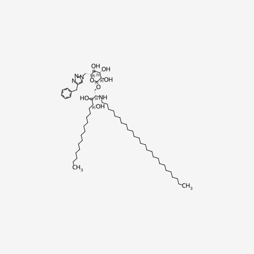 CCCCCCCCCCCCCCCCCCCCCCCCCCN[C@@H](CO[C@@H]1O[C@H](Cn2cc(Cc3ccccc3)nn2)[C@H](O)[C@H](O)[C@H]1O)[C@H](O)[C@H](O)CCCCCCCCCCCCCC